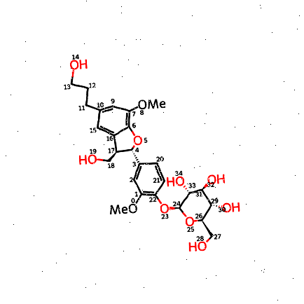 COc1cc([C@H]2Oc3c(OC)cc(CCCO)cc3[C@@H]2CO)ccc1O[C@@H]1O[C@H](CO)[C@@H](O)[C@H](O)[C@H]1O